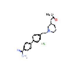 COC(=O)CC1CCCN(CCc2ccc(-c3ccc(C(=N)N)cc3)cc2)C1.Cl